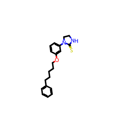 S=C1NCCN1c1cccc(OCCCCCc2ccccc2)c1